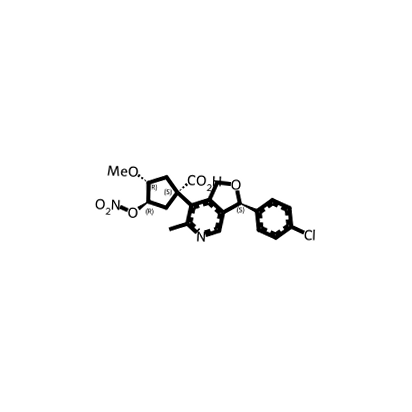 CO[C@@H]1C[C@@](C(=O)O)(c2c(C)ncc3c2CO[C@H]3c2ccc(Cl)cc2)C[C@H]1O[N+](=O)[O-]